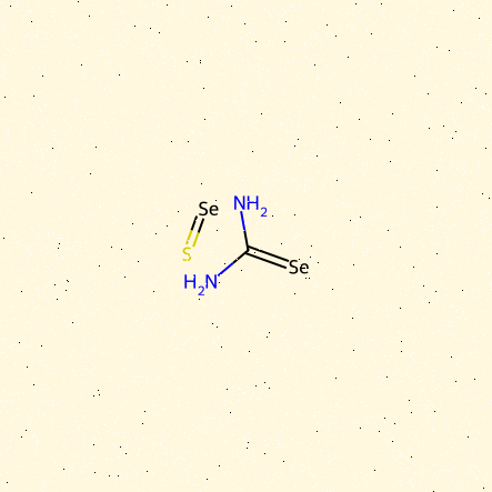 NC(N)=[Se].S=[Se]